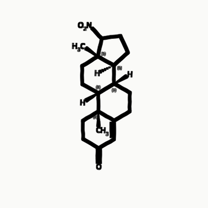 C[C@]12CCC(=O)C=C1CC[C@@H]1[C@H]2CC[C@]2(C)C([N+](=O)[O-])CC[C@@H]12